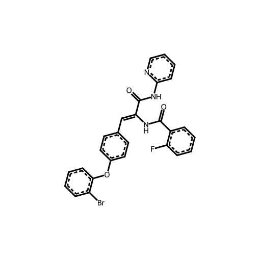 O=C(Nc1ccccn1)C(=Cc1ccc(Oc2ccccc2Br)cc1)NC(=O)c1ccccc1F